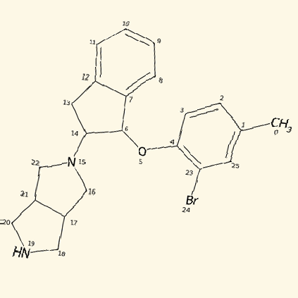 Cc1ccc(OC2c3ccccc3CC2N2CC3CNCC3C2)c(Br)c1